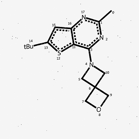 Cc1nc(N2CC3(COC3)C2)c2sc(C(C)(C)C)cc2n1